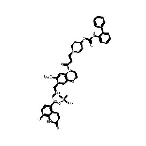 COc1cc2c(cc1CNC[C@H](O[Si](C)(C)C(C)(C)C)c1ccc(O)c3[nH]c(=O)ccc13)OCCN2C(=O)CCN1CCC(OC(=O)Nc2ccccc2-c2ccccc2)CC1